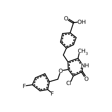 Cc1[nH]c(=O)c(Cl)c(OCc2ccc(F)cc2F)c1Cc1ccc(C(=O)O)cc1